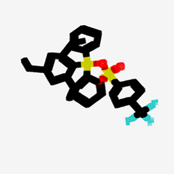 CCc1cc(CC)c(S(OS(=O)(=O)c2ccc(C(F)(F)F)cc2)(c2ccccc2)c2ccccc2)c(CC)c1